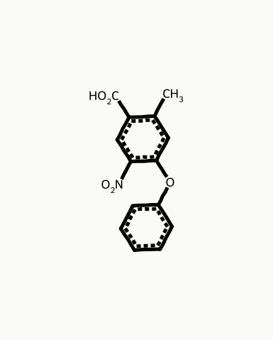 Cc1cc(Oc2ccccc2)c([N+](=O)[O-])cc1C(=O)O